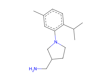 Cc1ccc(C(C)C)c(N2CCC(CN)C2)c1